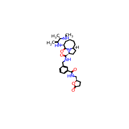 C=C(N[C@H]1CCCC[C@H]2CC[C@@H](C(=O)NCc3cccc(C(=O)NC[C@H]4CCC(=O)O4)c3)N2C1=O)[C@H](C)NC